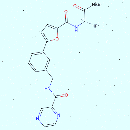 CNC(=O)[C@@H](NC(=O)c1ccc(-c2cccc(CNC(=O)c3cnccn3)c2)o1)C(C)C